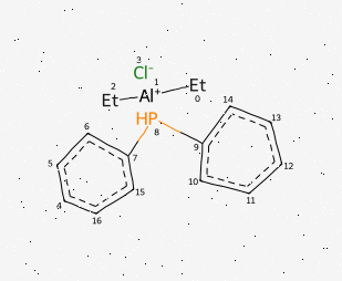 C[CH2][Al+][CH2]C.[Cl-].c1ccc(Pc2ccccc2)cc1